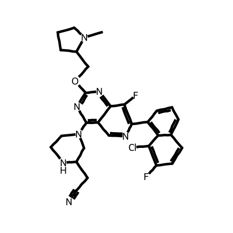 CN1CCCC1COc1nc(N2CCNC(CC#N)C2)c2cnc(-c3cccc4ccc(F)c(Cl)c34)c(F)c2n1